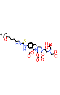 CC(=O)CCCCCNC(=S)Nc1ccc(C[C@H](CN(CCN(CC(=O)O)CC(=O)O)COC=O)N(COC=O)COC=O)cc1